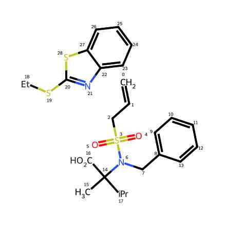 C=CCS(=O)(=O)N(Cc1ccccc1)C(C)(C(=O)O)C(C)C.CCSc1nc2ccccc2s1